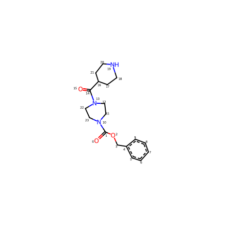 O=C(OCc1ccccc1)N1CCN(C(=O)C2CCNCC2)CC1